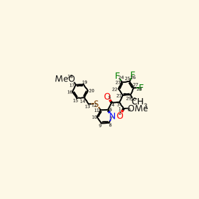 COC(=O)C(C(=O)c1ncccc1SCc1ccc(OC)cc1)c1cc(F)c(F)c(F)c1C